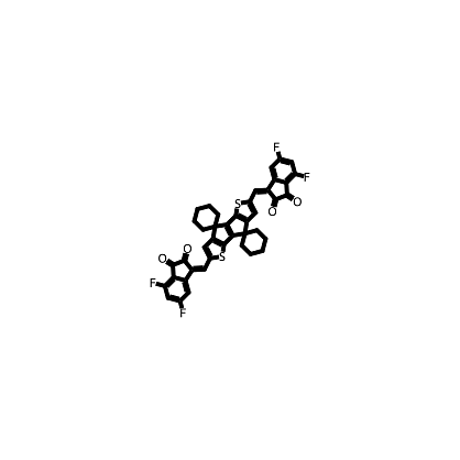 O=C1C(=O)c2c(F)cc(F)cc2/C1=C/c1cc2c(s1)C1=C(c3sc(/C=C4\C(=O)C(=O)c5c(F)cc(F)cc54)cc3C13CCCCC3)C21CCCCC1